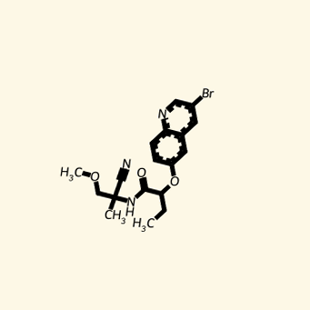 CCC(Oc1ccc2ncc(Br)cc2c1)C(=O)NC(C)(C#N)COC